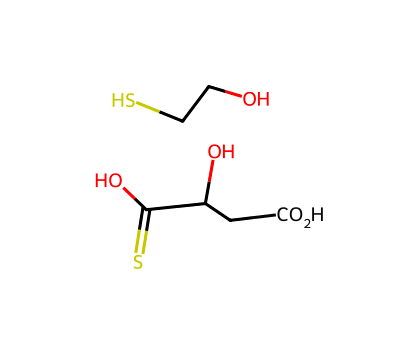 O=C(O)CC(O)C(O)=S.OCCS